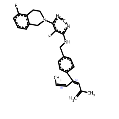 C=C(C)/C=C(\C=C/C)c1ccc(CNc2ncnc(N3CCc4c(F)cccc4C3)c2F)cc1